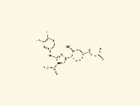 N#CC1CC(NCC(F)F)CCC1n1cc(C(N)=O)c(Nc2ccc(F)c(Cl)c2)n1